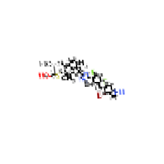 CCOC(=O)CCc1cccc(C(C)(CCCC(C)(C)CSCCO)c2nc(-c3cc(Cc4c(F)cc5[nH]ccc5c4Br)ccc3F)n(C)n2)c1